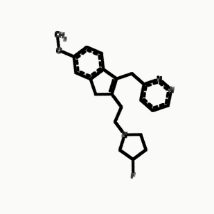 COc1ccc2c(c1)CC(CCN1CCC(F)C1)=C2Cc1cccnn1